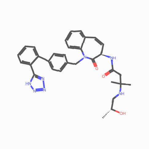 C[C@@H](O)CNC(C)(C)CC(=O)N[C@@H]1C=Cc2ccccc2N(Cc2ccc(-c3ccccc3-c3nnn[nH]3)cc2)C1=O